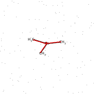 CCCCCCCCCCCCCCCCCCN1C=CN(CCCCCCCCCCCCCCCCCC)C1CCCCCCCCCCCCCCC